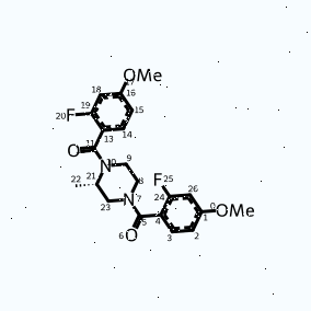 COc1ccc(C(=O)N2CCN(C(=O)c3ccc(OC)cc3F)[C@@H](C)C2)c(F)c1